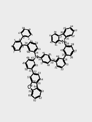 c1ccc(-c2ccccc2-c2cccc(N(c3ccc(-c4cccc(-c5cccc(-n6c7ccccc7c7ccccc76)c5)c4)cc3)c3cccc(-c4ccc5c(c4)oc4ccccc45)c3)c2)cc1